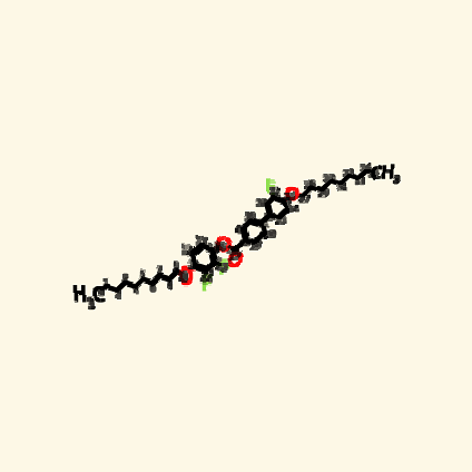 CCCCCCCCCCOc1ccc(OC(=O)c2ccc(-c3ccc(OCCCCCCCCC)c(F)c3)cc2)c(F)c1F